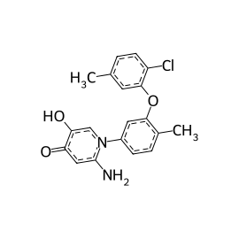 Cc1ccc(Cl)c(Oc2cc(-n3cc(O)c(=O)cc3N)ccc2C)c1